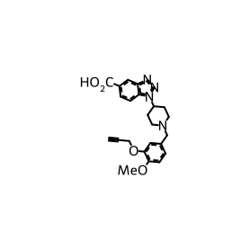 C#CCOc1cc(CN2CCC(n3nnc4cc(C(=O)O)ccc43)CC2)ccc1OC